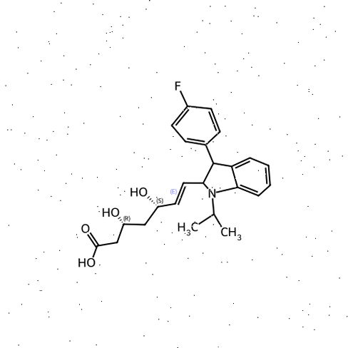 CC(C)N1c2ccccc2C(c2ccc(F)cc2)C1/C=C/[C@@H](O)C[C@@H](O)CC(=O)O